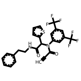 C#CC(=O)N(c1cc(C(F)(F)F)cc(C(F)(F)F)c1)C(C(=O)NCCc1ccccc1)c1cccs1